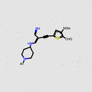 CNc1cc(C#C/C(C=N)=C/NC2CCN(C(C)=O)CC2)sc1C=O